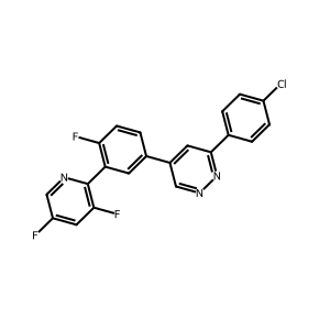 Fc1cnc(-c2cc(-c3cnnc(-c4ccc(Cl)cc4)c3)ccc2F)c(F)c1